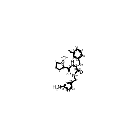 CN1CCCC1C(=O)N[C@@H](Cc1cccc(F)c1)C(=O)NCc1cnc(N)s1